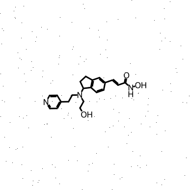 O=C(C=Cc1ccc2c(c1)CCC2N(CCO)CCc1ccncc1)NO